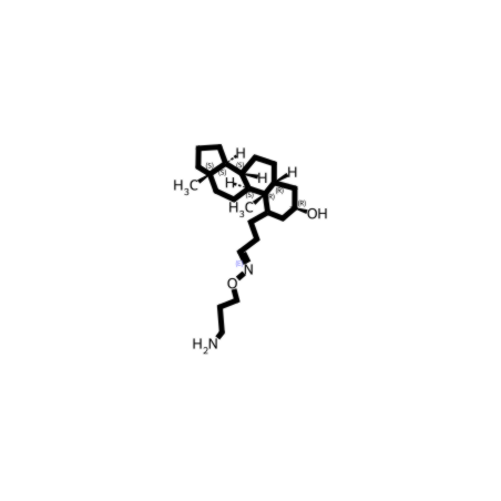 C[C@@]12CCC[C@H]1[C@@H]1CC[C@@H]3C[C@@H](O)CC(CC/C=N/OCCCN)[C@]3(C)[C@H]1CC2